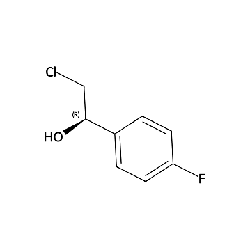 O[C@@H](CCl)c1ccc(F)cc1